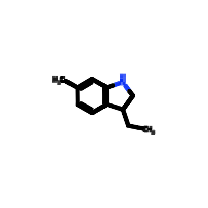 CCC1CNc2cc(C)ccc21